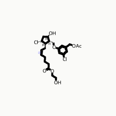 CC(=O)OCc1cc(Cl)cc(OC[C@@H]2[C@@H](C/C=C\CCCC(=O)OCCO)[C@H](Cl)C[C@H]2O)c1